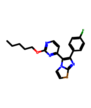 CCCCCOc1nccc(-c2c(-c3ccc(F)cc3)nc3sccn23)n1